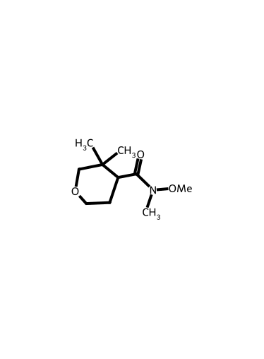 CON(C)C(=O)C1CCOCC1(C)C